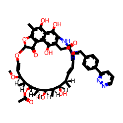 CO[C@H]1/C=C/O[C@@]2(C)Oc3c(C)c(O)c4c(O)c(c(CCNCc5ccc(-c6cccnn6)cc5)c(O)c4c3C2=O)NC(=O)/C(C)=C\C=C\[C@H](C)[C@H](O)[C@@H](C)[C@@H](O)[C@@H](C)[C@H](OC(C)=O)[C@@H]1C